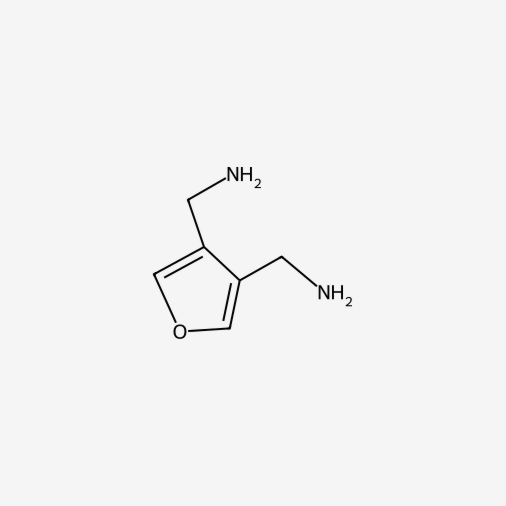 NCc1cocc1CN